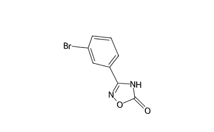 O=c1[nH]c(-c2cccc(Br)c2)no1